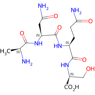 C[C@H](N)C(=O)N[C@@H](CC(N)=O)C(=O)N[C@@H](CCC(N)=O)C(=O)N[C@@H](CO)C(=O)O